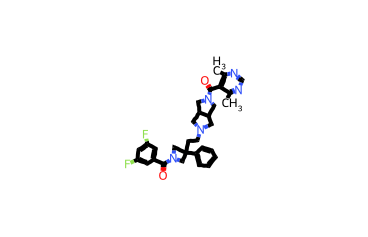 Cc1ncnc(C)c1C(=O)N1CC2CN(CCC3(c4ccccc4)CN(C(=O)c4cc(F)cc(F)c4)C3)CC2C1